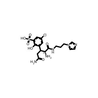 NC(=O)CC(c1cc(Cl)cc(S(=O)(=O)O)c1O)[C@H](N)C(=O)NCCCn1ccnc1